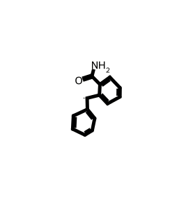 NC(=O)c1ccccc1[CH]c1ccccc1